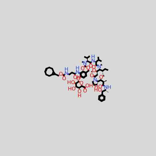 CC[C@H](C)[C@@H]([C@@H](CC(=O)N1CCC[C@H]1[C@H](OC)[C@@H](C)C(O)N[C@H](C)[C@@H](O)c1ccccc1)OC)N(C)C(=O)[C@@H](NC(=O)[C@H](C(C)C)N(C)C(=O)OCc1ccc(O[C@@H]2OC(C(=O)O)[C@H](O)[C@H](O)C2O)c(NC(O)CCNC(=O)OCC2C3CC/C=C\CCC32)c1)C(C)C